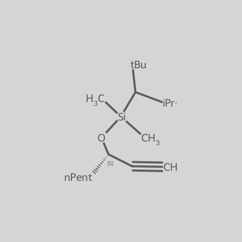 C#C[C@H](CCCCC)O[Si](C)(C)C([C](C)C)C(C)(C)C